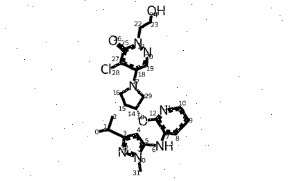 CC(C)c1cc(Nc2cccnc2O[C@@H]2CCN(c3cnn(CCO)c(=O)c3Cl)C2)n(C)n1